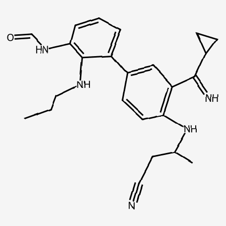 CCCNc1c(NC=O)cccc1-c1ccc(NC(C)CC#N)c(C(=N)C2CC2)c1